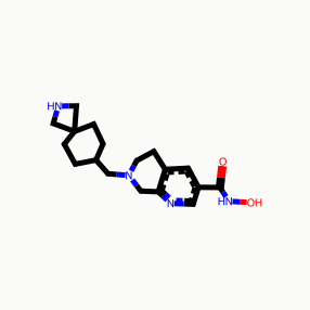 O=C(NO)c1cnc2c(c1)CCN(CC1CCC3(CC1)CNC3)C2